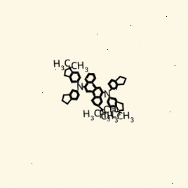 CC(C)(C)c1ccc2c(c1)c(N(c1ccc3c(c1)CCC3)c1ccc3c(c1)CCC3(C)C)cc1c3ccccc3c(N(c3ccc4c(c3)CCC4)c3ccc4c(c3)CCC4(C)C)cc21